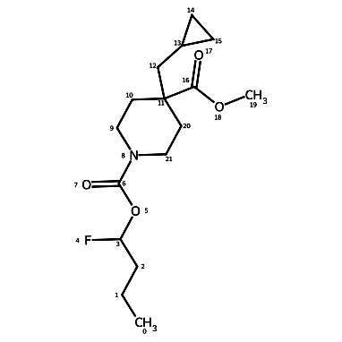 CCCC(F)OC(=O)N1CCC(CC2CC2)(C(=O)OC)CC1